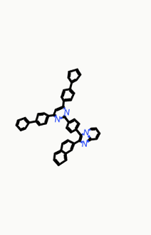 c1ccc(-c2ccc(-c3cc(-c4ccc(-c5ccccc5)cc4)nc(-c4ccc(-c5c(-c6ccc7ccccc7c6)nc6ccccn56)cc4)n3)cc2)cc1